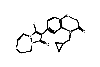 O=C1COc2ccc(-c3c(Cl)n4n(c3=O)CCOCC4)cc2N1CC1CC1